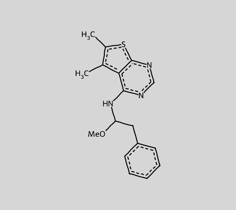 COC(Cc1ccccc1)Nc1ncnc2sc(C)c(C)c12